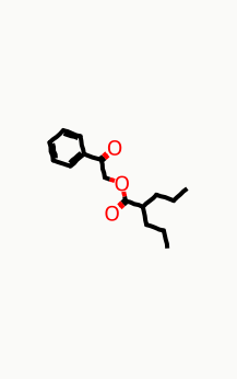 CCCC(CCC)C(=O)OCC(=O)c1ccccc1